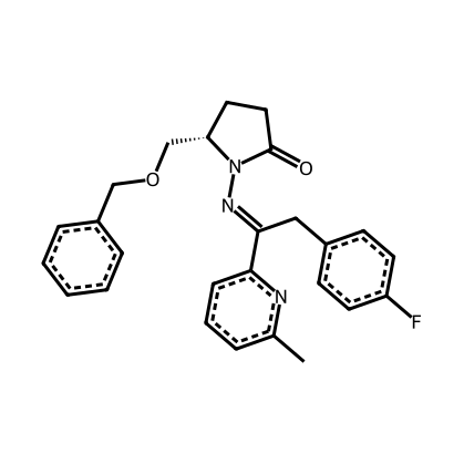 Cc1cccc(/C(Cc2ccc(F)cc2)=N/N2C(=O)CC[C@H]2COCc2ccccc2)n1